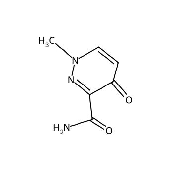 Cn1ccc(=O)c(C(N)=O)n1